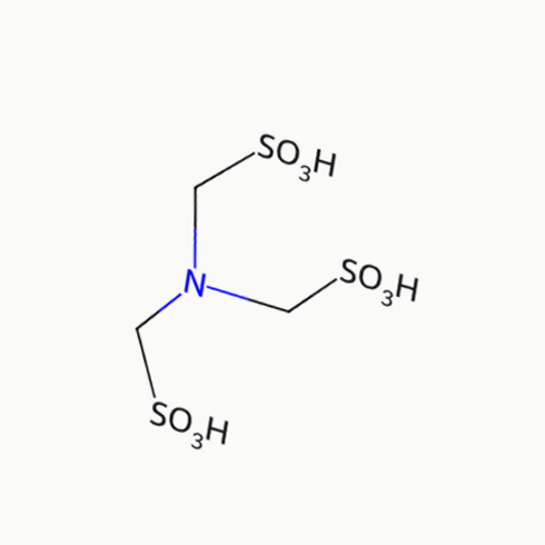 O=S(=O)(O)CN(CS(=O)(=O)O)CS(=O)(=O)O